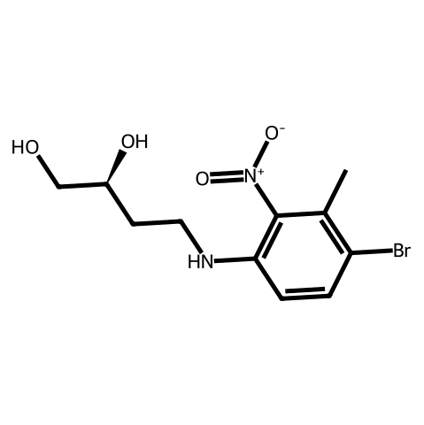 Cc1c(Br)ccc(NCC[C@H](O)CO)c1[N+](=O)[O-]